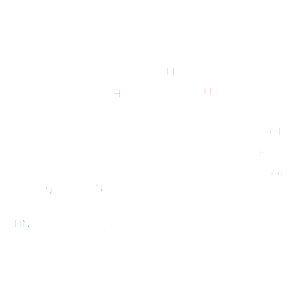 O=C(c1c[nH]cn1)N1CC(Oc2ccc(CCB(O)O)c(O)c2C(O)O)C1